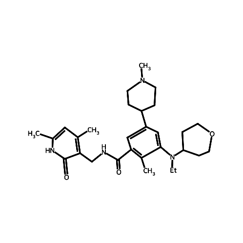 CCN(c1cc(C2CCN(C)CC2)cc(C(=O)NCc2c(C)cc(C)[nH]c2=O)c1C)C1CCOCC1